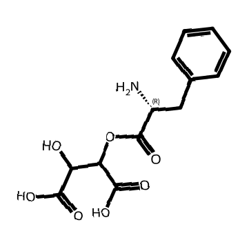 N[C@H](Cc1ccccc1)C(=O)OC(C(=O)O)C(O)C(=O)O